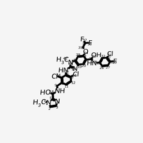 Cn1ccnc1C(O)NCc1ccc(Cl)c(Nc2nc3cc(C(O)Nc4ccc(F)c(Cl)c4)c(OCC(F)F)cc3n2C)c1Cl